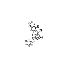 O=C(N[C@H](CO)C(O)c1ccc2c(c1F)OCCO2)OCc1ccccc1